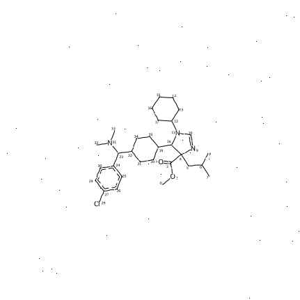 COC(=O)C1(CC(C)C)N=CN(C2CCCCC2)C1C1CCC(C(c2ccc(Cl)cc2)N(C)C)CC1